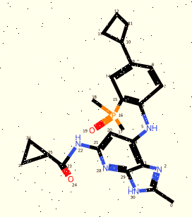 Cc1nc2c(Nc3ccc(C4CCC4)cc3P(C)(C)=O)cc(NC(=O)C3CC3)nc2[nH]1